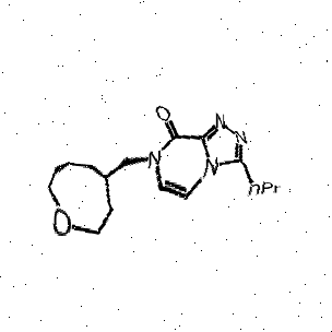 CCCc1nnc2c(=O)n(CC3CCOCC3)ccn12